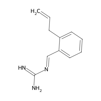 C=CCc1ccccc1C=NC(=N)N